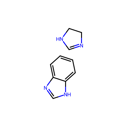 C1=NCCN1.c1ccc2[nH]cnc2c1